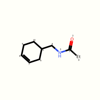 CCC(=O)NCC1CC=CCC1